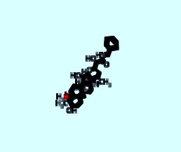 C[C@@H]1C[C@H]([C@H](O)C(=O)NCc2ccccc2)O[C@H]2[C@H]1[C@@]1(C)CC[C@@]34C[C@@]35CC[C@H](O)C(C)(C)[C@@H]5CC[C@H]4[C@]1(C)[C@H]2O